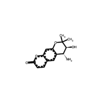 CC1(C)Oc2cc3oc(=O)ccc3cc2[C@@H](N)[C@@H]1O